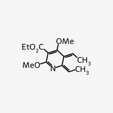 C/C=c1/nc(OC)c(C(=O)OCC)c(OC)/c1=C/C